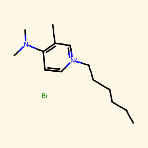 CCCCCC[n+]1ccc(N(C)C)c(C)c1.[Br-]